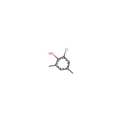 Cc1cc(C)c(O)c(Cl)c1